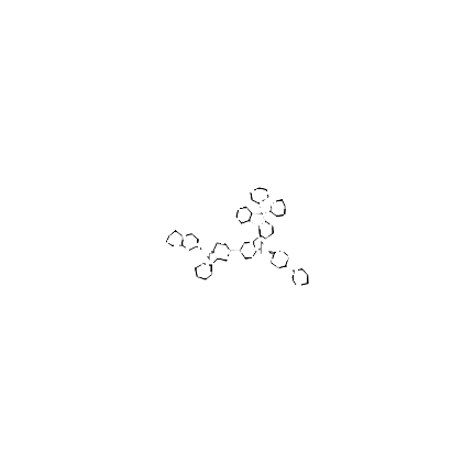 c1ccc(-c2ccc(-n3c4ccc(-c5ccc6c(c5)c5ccccc5n6-c5ccc6ccccc6c5)cc4c4c5c(ccc43)C(c3ccccc3)(c3ccccc3)c3ccccc3-5)cc2)cc1